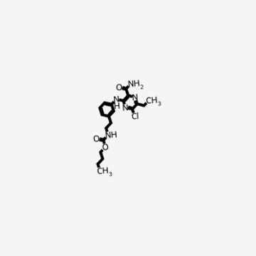 CCCCOC(=O)NCCc1cccc(Nc2nc(Cl)c(CC)nc2C(N)=O)c1